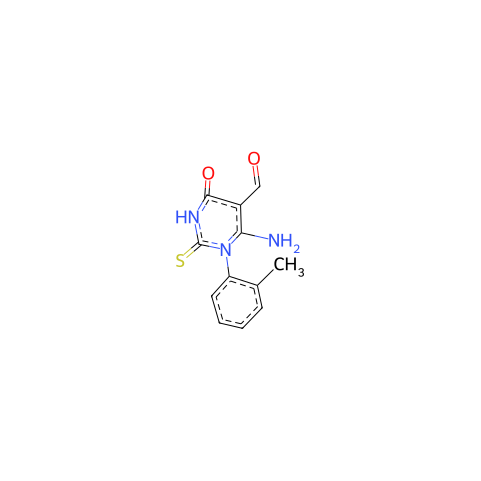 Cc1ccccc1-n1c(N)c(C=O)c(=O)[nH]c1=S